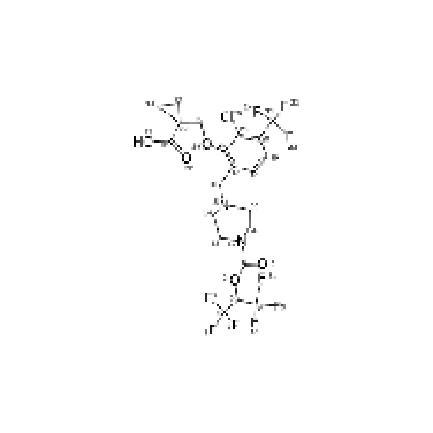 O=C(OC(C(F)(F)F)C(F)(F)F)N1CCN(Cc2ccc(C(F)(F)F)c(Cl)c2OCC2(C(=O)O)CC2)CC1